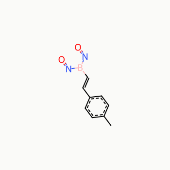 Cc1ccc(/C=C/B(N=O)N=O)cc1